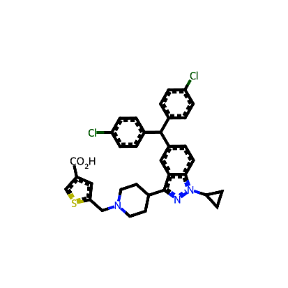 O=C(O)c1csc(CN2CCC(c3nn(C4CC4)c4ccc(C(c5ccc(Cl)cc5)c5ccc(Cl)cc5)cc34)CC2)c1